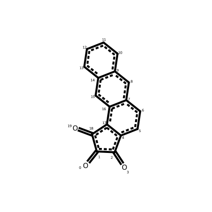 O=c1c(=O)c2ccc3cc4ccccc4cc3c2c1=O